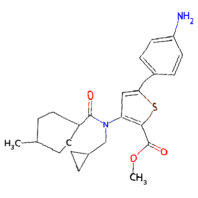 COC(=O)c1sc(-c2ccc(N)cc2)cc1N(CC1CC1)C(=O)C1CCC(C)CC1